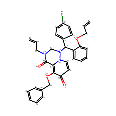 C=CCOc1ccccc1C(c1ccc(F)cc1)N1CN(CC=C)C(=O)c2c(OCc3ccccc3)c(=O)ccn21